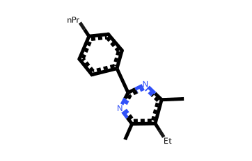 CCCc1ccc(-c2nc(C)c(CC)c(C)n2)cc1